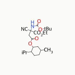 CCOC(=O)C(C#N)(CC(=O)OC1CC(C)CCC1C(C)C)NC(=O)OC(C)(C)C